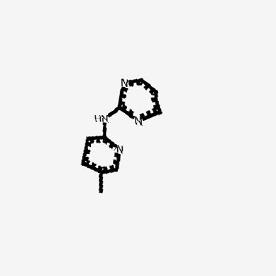 Cc1ccc(Nc2ncccn2)nc1